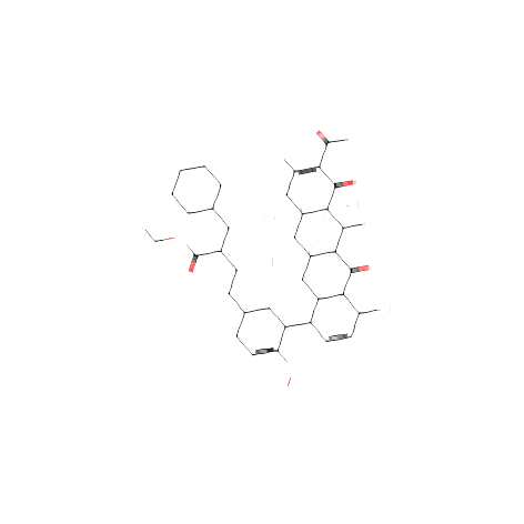 CCOC(=O)C(CCC1CC=C(OC)C(C2C=CC(C)C3C(=O)C4C(C)[C@]5(C)C(=O)C(C(C)=O)=C(C)C[C@]5(C)C[C@]4(C)CC23)C1)CC1CCCCC1